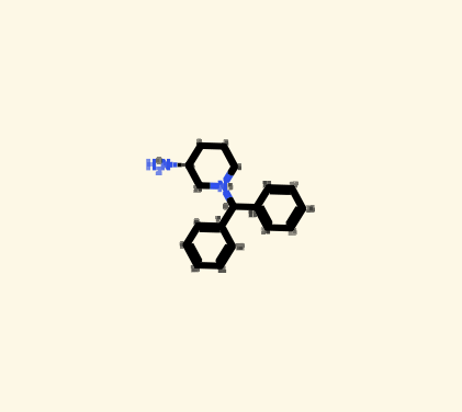 N[C@@H]1CCCN(C(c2ccccc2)c2ccccc2)C1